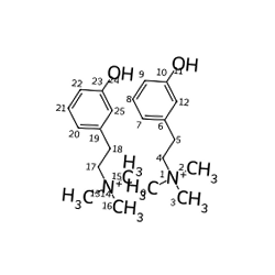 C[N+](C)(C)CCc1cccc(O)c1.C[N+](C)(C)CCc1cccc(O)c1